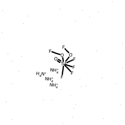 [NH4+].[NH4+].[NH4+].[NH4+].[O]=[Ti-4]([F])([F])([F])([F])([O]F)[O]F